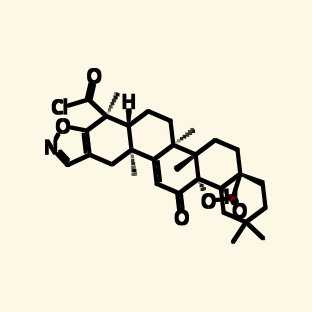 CC1(C)CC[C@@]23CC[C@@]4(C)[C@]5(C)CC[C@@H]6[C@](C)(Cc7cnoc7[C@@]6(C)C(=O)Cl)C5=CC(=O)[C@]4(OC2=O)[C@@H]3C1